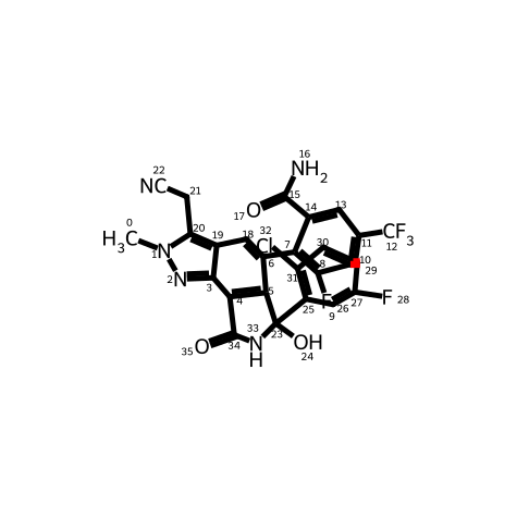 Cn1nc2c3c(c(-c4c(F)cc(C(F)(F)F)cc4C(N)=O)cc2c1CC#N)C(O)(c1cc(F)ccc1Cl)NC3=O